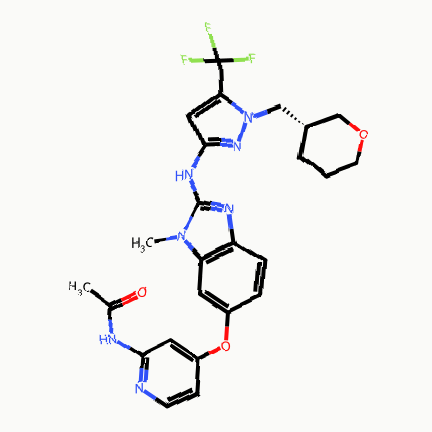 CC(=O)Nc1cc(Oc2ccc3nc(Nc4cc(C(F)(F)F)n(C[C@H]5CCCOC5)n4)n(C)c3c2)ccn1